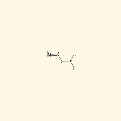 [CH2]C(C)=CC=N